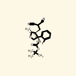 C[C@H]1OC[C@@](NC(=O)OC(C)(C)C)(c2ccccc2F)[C@@H]1CC(C#N)C#N